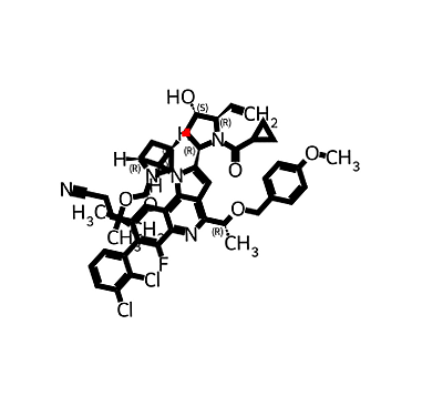 C=C[C@@H]1[C@@H](O)C[C@H](c2cc3c([C@@H](C)OCc4ccc(OC)cc4)nc4c(F)c(-c5cccc(Cl)c5Cl)c(CCC#N)cc4c3n2[C@H]2[C@@H]3C[C@H]2N(C(=O)OC(C)(C)C)C3)N1C(=O)C1CC1